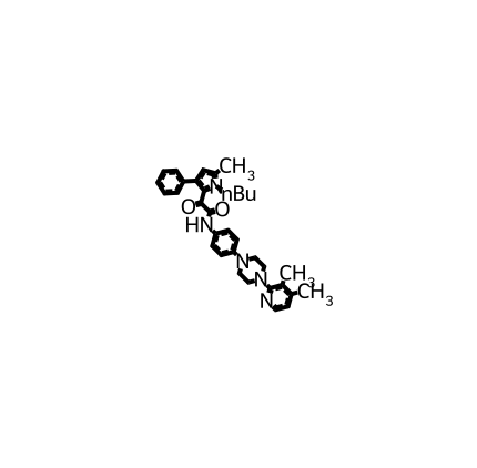 CCCCn1c(C)cc(-c2ccccc2)c1C(=O)C(=O)Nc1ccc(N2CCN(c3nccc(C)c3C)CC2)cc1